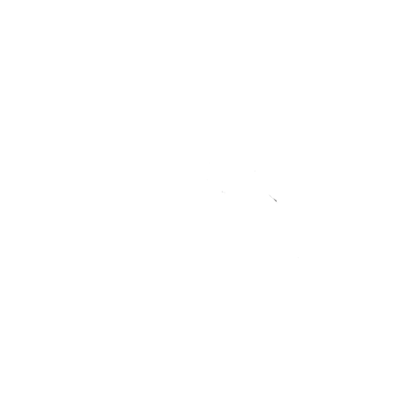 CCOC(=O)[C@@H]1C[C@H]1NC(=O)OCc1ccccc1